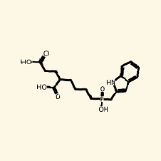 O=C(O)CCC(CCCCP(=O)(O)Cc1cc2ccccc2[nH]1)C(=O)O